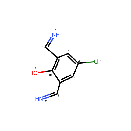 N=Cc1cc(Cl)cc(C=N)c1O